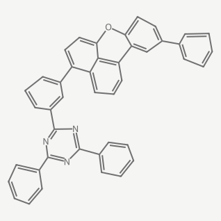 c1ccc(-c2ccc3c(c2)-c2cccc4c(-c5cccc(-c6nc(-c7ccccc7)nc(-c7ccccc7)n6)c5)ccc(c24)O3)cc1